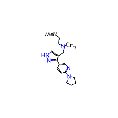 CNCCN(C)Cc1c[nH]nc1-c1ccc(N2CCCC2)nc1